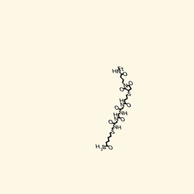 BC(=O)CCCCCSCNC(=O)CNC(=O)CNC(=O)CNC(=O)CCCSC1CC(=O)N(CCCC(=O)NCC)C1=O